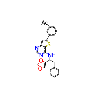 CC(=O)c1cccc(-c2cc3ncnc(NC(Cc4ccccc4)C4=COCO4)c3s2)c1